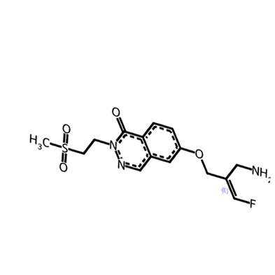 CS(=O)(=O)CCn1ncc2cc(OC/C(=C/F)CN)ccc2c1=O